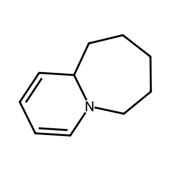 C1=CC2CCCCCN2C=C1